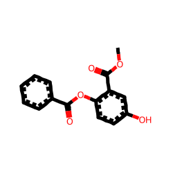 COC(=O)c1cc(O)ccc1OC(=O)c1ccccc1